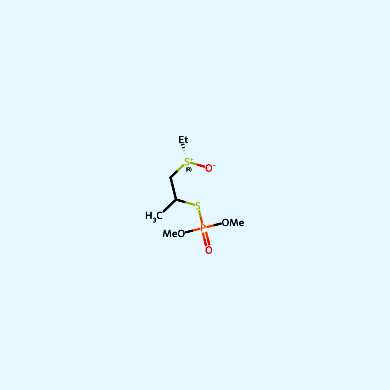 CC[S@+]([O-])CC(C)SP(=O)(OC)OC